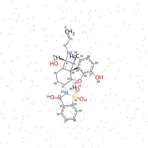 C=CCN1CC2[C@@H]1[C@]1(O)CC[C@@H](N3C(=O)c4ccccc4S3(=O)=O)[C@@H]3Oc4c(O)ccc(C)c4[C@@]231